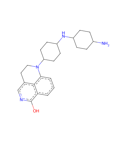 NC1CCC(NC2CCC(N3CCc4cnc(O)c5cccc3c45)CC2)CC1